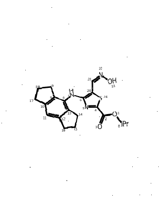 CC(C)OC(=O)c1nc(Nc2c3c(cc4c2CCC4)CCC3)c(/C=N\O)s1